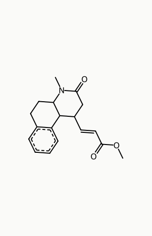 COC(=O)C=CC1CC(=O)N(C)C2CCc3ccccc3C12